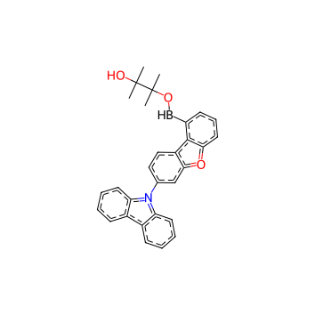 CC(C)(O)C(C)(C)OBc1cccc2oc3cc(-n4c5ccccc5c5ccccc54)ccc3c12